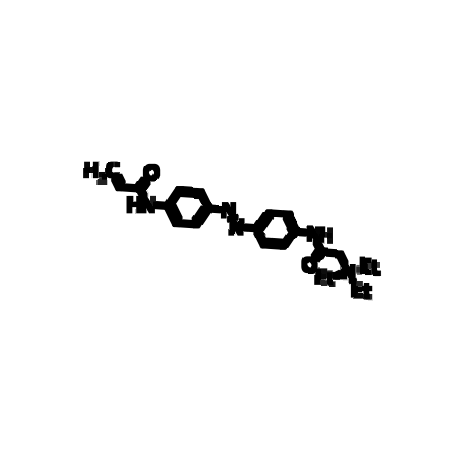 C=CC(=O)Nc1ccc(/N=N/c2ccc(NC(=O)C[N+](CC)(CC)CC)cc2)cc1